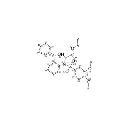 CCOC(=O)CN(c1ccccc1C(O)c1ccccc1)S(=O)(=O)c1ccc(OC)c(OC)c1